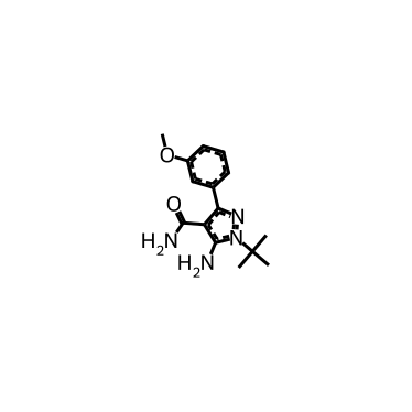 COc1cccc(-c2nn(C(C)(C)C)c(N)c2C(N)=O)c1